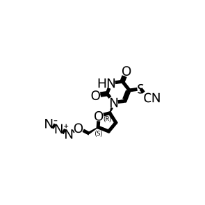 N#CSc1cn([C@H]2CC[C@@H](CON=[N+]=[N-])O2)c(=O)[nH]c1=O